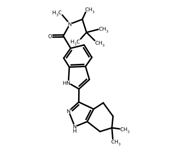 CC(N(C)C(=O)c1ccc2cc(-c3n[nH]c4c3CCC(C)(C)C4)[nH]c2c1)C(C)(C)C